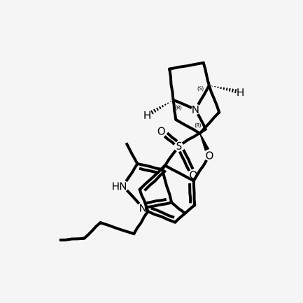 CCCCc1ccc(O[C@H]2C[C@H]3CC[C@@H](C2)N3CS(=O)(=O)c2c(C)n[nH]c2C)cc1